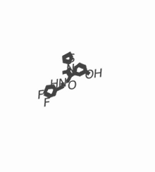 Cc1c(C(=O)NCc2ccc(F)c(F)c2)c2cc(O)ccc2n1-c1cccs1